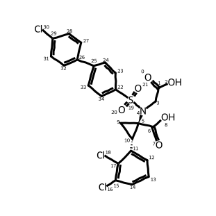 O=C(O)CN([C@]1(C(=O)O)C[C@H]1c1cccc(Cl)c1Cl)S(=O)(=O)c1ccc(-c2ccc(Cl)cc2)cc1